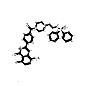 Cc1ccc(F)c2c(=O)[nH]c(-c3ccc(C(=O)N4CCN(CCO[Si](c5ccccc5)(c5ccccc5)C(C)(C)C)CC4)cc3)cc12